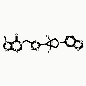 Cn1cnc2ncn(Cc3nc([C@H]4[C@@H]5CN(c6ccc7ocnc7c6)C[C@@H]54)no3)c(=O)c21